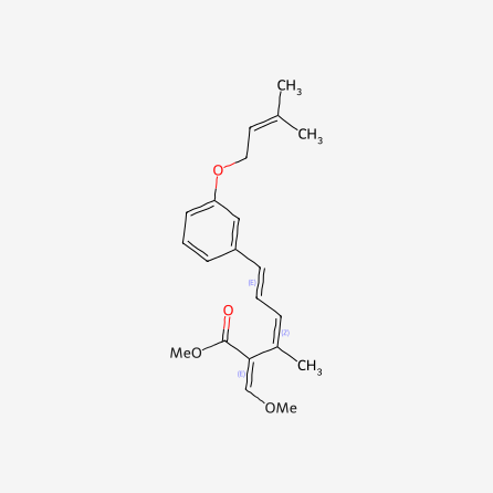 CO\C=C(C(=O)OC)/C(C)=C\C=C\c1cccc(OCC=C(C)C)c1